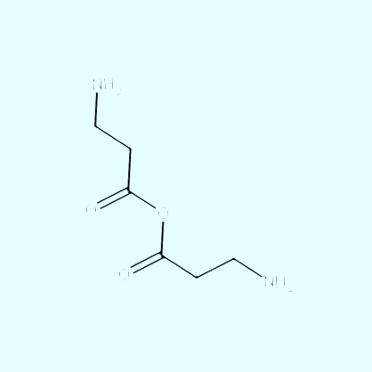 NCCC(=O)OC(=O)CCN